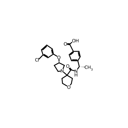 C[C@H](NC(=O)C1(N2CC[C@@H](Oc3cccc(Cl)c3)C2)CCOCC1)c1ccc(C(=O)O)cc1